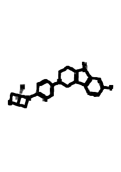 Fc1ccc2c3c([nH]c2c1)CCN(c1ccc(N2CC4OC[C@H]42)nc1)C3